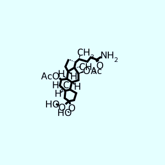 CC(=O)OC1C[C@@H]2CC(OO)(OO)CC[C@]2(C)[C@H]2C[C@H](OC(C)=O)[C@]3(C)[C@@H]([C@H](C)CCC(N)=O)CC[C@H]3[C@H]12